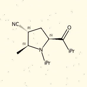 CC(C)C(=O)[C@@H]1C[C@@H](C#N)[C@H](C)N1C(C)C